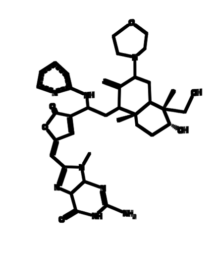 C=C1C(N2CCOCC2)CC2[C@](C)(CC[C@@H](O)[C@@]2(C)CO)C1CC(Nc1ccccn1)C1=C/C(=C\C2=NC3C(=O)NC(N)=NC3N2C)OC1=O